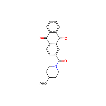 CSC1CCN(C(=O)c2ccc3c(c2)C(=O)c2ccccc2C3=O)CC1